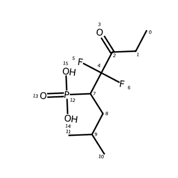 CCC(=O)C(F)(F)C(CC(C)C)P(=O)(O)O